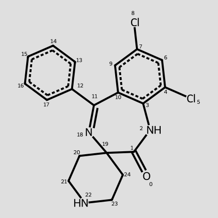 O=C1Nc2c(Cl)cc(Cl)cc2C(c2ccccc2)=NC12CCNCC2